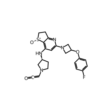 O=C=CN1CC[C@H](Nc2cc(N3CC(Oc4ccc(F)cc4)C3)nc3c2[S@+]([O-])CC3)C1